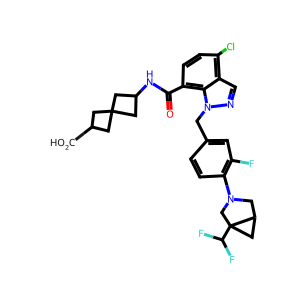 O=C(NC1CC2(C1)CC(C(=O)O)C2)c1ccc(Cl)c2cnn(Cc3ccc(N4CC5CC5(C(F)F)C4)c(F)c3)c12